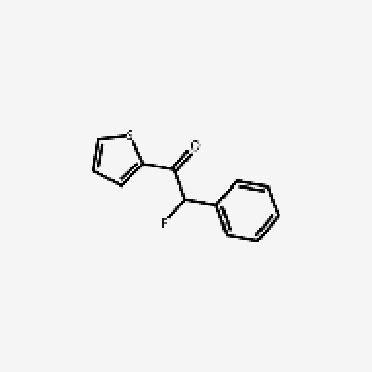 O=C(c1cccs1)C(F)c1ccccc1